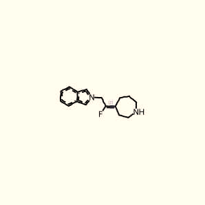 F/C(Cn1cc2ccccc2c1)=C1/CCCNCC1